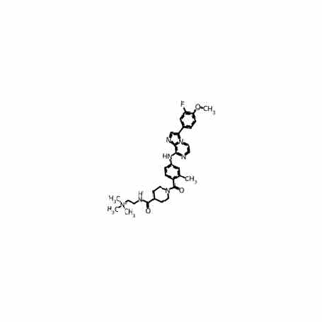 COc1ccc(-c2cnc3c(Nc4ccc(C(=O)N5CCC(C(=O)NCC[N+](C)(C)C)CC5)c(C)c4)nccn23)cc1F